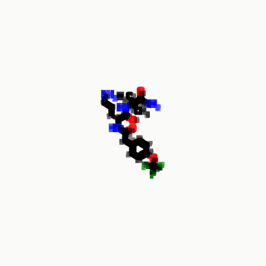 CC(C)(NC(=O)[C@@H](CCCN)NC(=O)Cc1ccc(OC(F)(F)F)cc1)C(N)=O